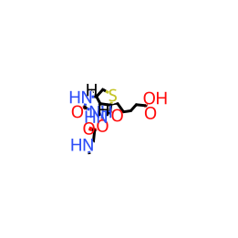 CNCC(=O)ONC(=O)[C@@]1(CCCCC(=O)O)SC[C@@H]2NC(=O)N[C@@H]21